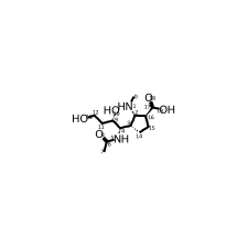 CN[C@H]1[C@@H]([C@H](NC(C)=O)[C@@H](O)CCO)CC[C@@H]1C(=O)O